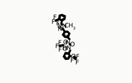 Cn1c(-c2ccccc2C(F)(F)F)nnc1C12CCC(CN(OC(=O)C(F)(F)F)C(=O)NCc3ccccc3OC(F)(F)F)(CC1)CC2